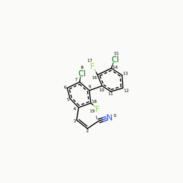 N#C/C=C\c1ccc(Cl)c(-c2cccc(Cl)c2F)c1F